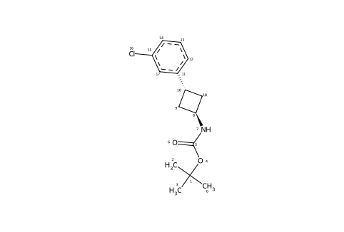 CC(C)(C)OC(=O)N[C@H]1C[C@H](c2cccc(Cl)c2)C1